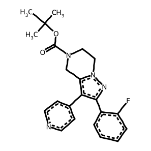 CC(C)(C)OC(=O)N1CCn2nc(-c3ccccc3F)c(-c3ccncc3)c2C1